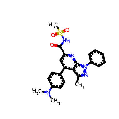 Cc1nn(-c2ccccc2)c2nc(C(=O)NS(C)(=O)=O)cc(-c3ccc(N(C)C)cc3)c12